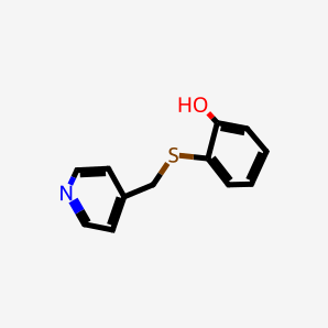 Oc1ccccc1SCc1ccncc1